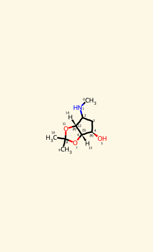 CNC1C[C@@H](O)[C@@H]2OC(C)(C)O[C@H]12